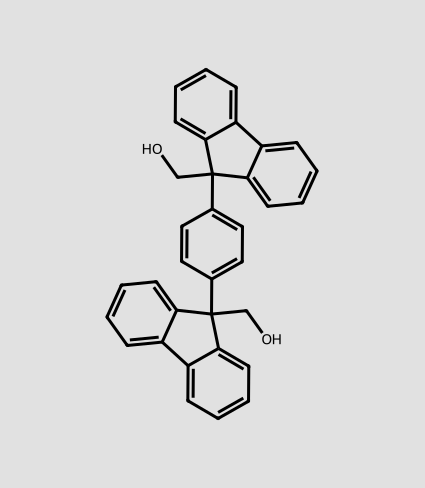 OCC1(c2ccc(C3(CO)c4ccccc4-c4ccccc43)cc2)c2ccccc2-c2ccccc21